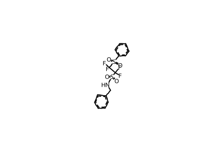 O=S(=O)(NCc1ccccc1)C(F)(F)C(F)(F)S(=O)(=O)c1ccccc1